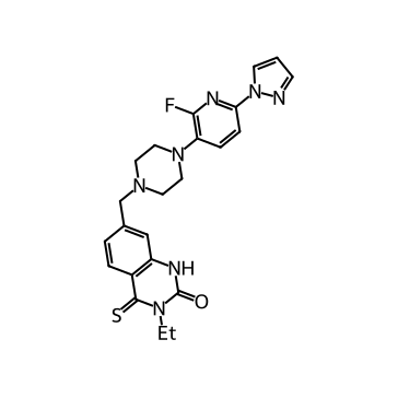 CCn1c(=O)[nH]c2cc(CN3CCN(c4ccc(-n5cccn5)nc4F)CC3)ccc2c1=S